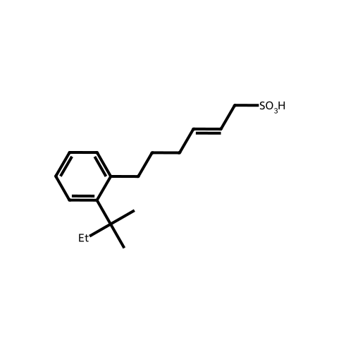 CCC(C)(C)c1ccccc1CCCC=CCS(=O)(=O)O